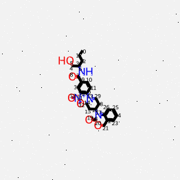 CCCC(CO)NC(=O)c1ccc(N2CCC(N3C(=O)OCc4ccccc43)CC2)c([N+](=O)[O-])c1